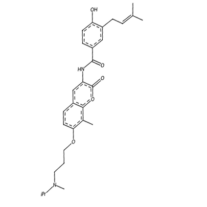 CC(C)=CCc1cc(C(=O)Nc2cc3ccc(OCCCN(C)C(C)C)c(C)c3oc2=O)ccc1O